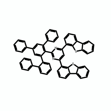 c1ccc(-c2cc(-c3ccccc3)c(-c3nc(-c4cccc5c4sc4ccccc45)cc(-c4cccc5c4sc4ccccc45)n3)c(-c3ccccc3-c3ccccc3)c2)cc1